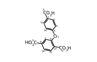 O=C(O)c1ccc(Oc2cc(C(=O)O)ccc2C(=O)O)cc1